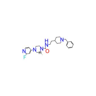 C[C@@H]1CN(c2ccnc(F)c2)CCN1C(=O)NCCC1CCN(Cc2ccccc2)CC1